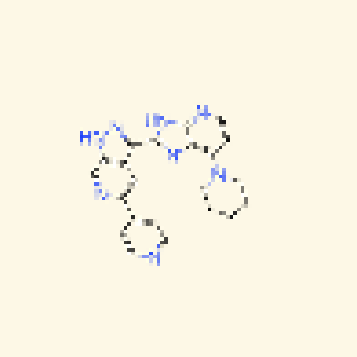 c1cc(-c2cc3c(-c4nc5c(N6CCCCC6)ccnc5[nH]4)n[nH]c3cn2)ccn1